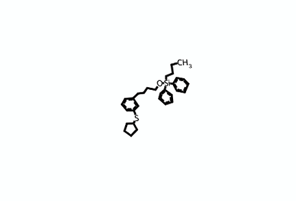 CCCC[Si](OCCCCc1cccc(SC2CCCC2)c1)(c1ccccc1)c1ccccc1